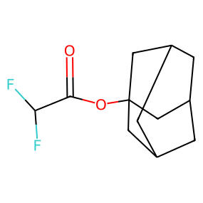 O=C(OC12CC3CC(CC(C3)C1)C2)C(F)F